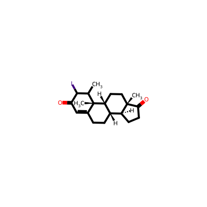 CC1C(I)C(=O)C=C2CC[C@@H]3[C@@H](CC[C@]4(C)C(=O)CC[C@@H]34)[C@]21C